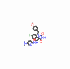 COc1ccc(CCN2C(=O)NC(=O)C2(CC(=O)Nc2ccc(N(C)C)cn2)c2ccc(F)cc2)cc1